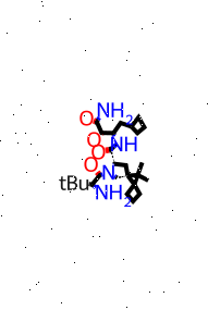 CC(C)(C)C(N)C(=O)N1C[C@]2(C[C@H]1C(=O)NC(CC1CCC1)C(=O)C(N)=O)C(C)(C)C21CCC1